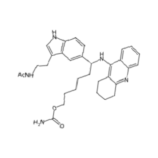 CC(=O)NCCc1c[nH]c2ccc(C(CCCCCOC(N)=O)Nc3c4c(nc5ccccc35)CCCC4)cc12